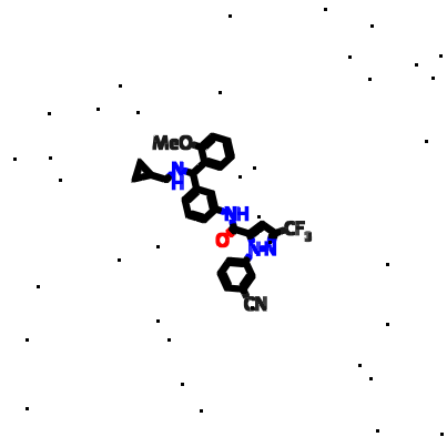 COc1ccccc1C(NCC1CC1)c1cccc(NC(=O)c2cc(C(F)(F)F)nn2-c2cccc(C#N)c2)c1